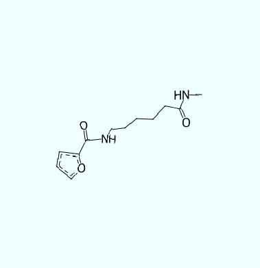 CNC(=O)CCCCCNC(=O)c1ccco1